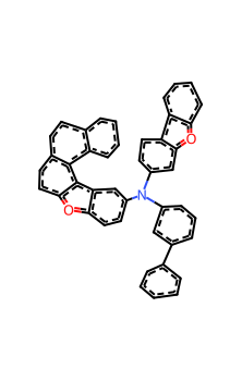 c1ccc(-c2cccc(N(c3ccc4c(c3)oc3ccccc34)c3ccc4oc5ccc6ccc7ccccc7c6c5c4c3)c2)cc1